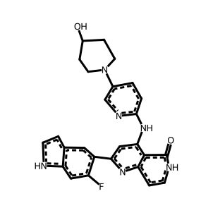 O=c1[nH]ccc2nc(-c3cc4cc[nH]c4cc3F)cc(Nc3ccc(N4CCC(O)CC4)cn3)c12